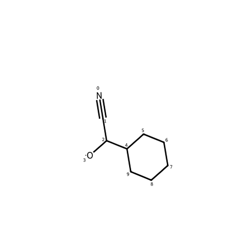 N#CC([O])C1CCCCC1